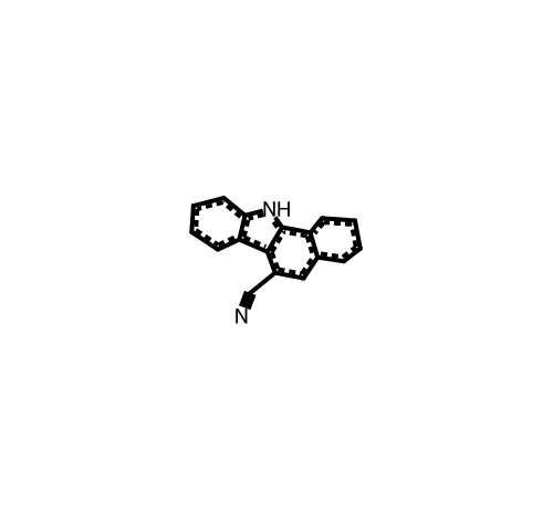 N#Cc1cc2ccccc2c2[nH]c3ccccc3c12